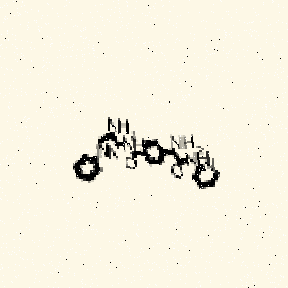 NC1CN(c2ccccc2)N=C1NC(=O)c1ccc(C(N)C(=O)Nc2ccccn2)cc1